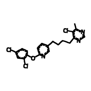 Cc1ncnc(CCCCc2ccc(Oc3ccc(Cl)cc3Cl)nc2)c1Cl